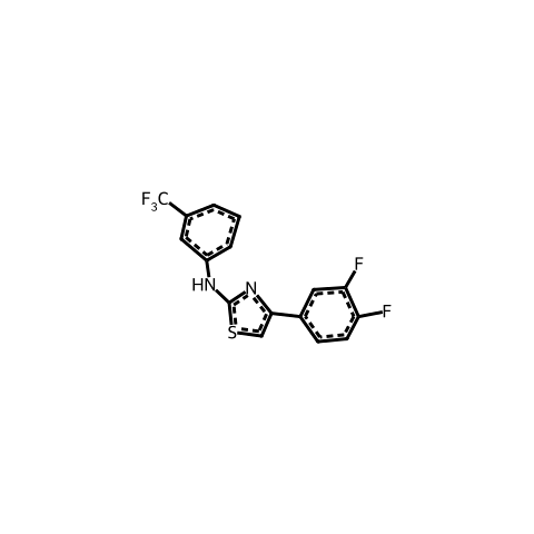 Fc1ccc(-c2csc(Nc3cccc(C(F)(F)F)c3)n2)cc1F